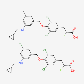 Cc1cc(COc2c(Cl)cc(CC(F)C(=O)O)cc2Cl)cc(NCC2CC2)c1.O=C(O)C(F)Cc1cc(Cl)c(OCc2cc(Cl)cc(NCC3CC3)c2)c(Cl)c1